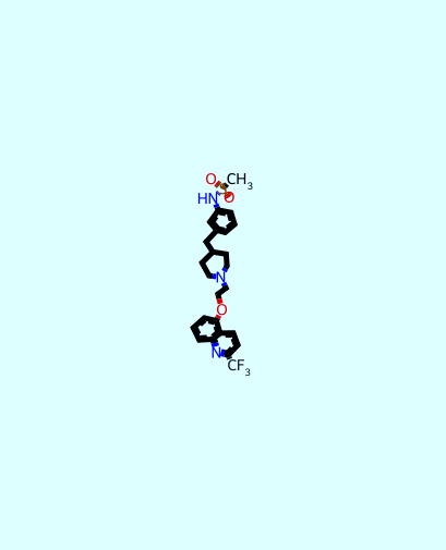 CS(=O)(=O)Nc1cccc(CC2CCN(CCOc3cccc4nc(C(F)(F)F)ccc34)CC2)c1